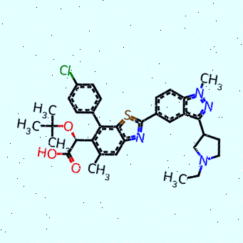 CCN1CCC(c2nn(C)c3ccc(-c4nc5cc(C)c([C@H](OC(C)(C)C)C(=O)O)c(-c6ccc(Cl)cc6)c5s4)cc23)C1